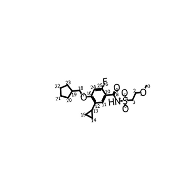 COCCS(=O)(=O)NC(=O)c1cc(C2CC2)c(OCC2CCCC2)cc1F